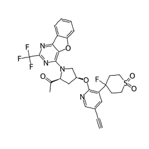 C#Cc1cnc(O[C@H]2C[C@@H](C(C)=O)N(c3nc(C(F)(F)F)nc4c3oc3ccccc34)C2)c(C2(F)CCS(=O)(=O)CC2)c1